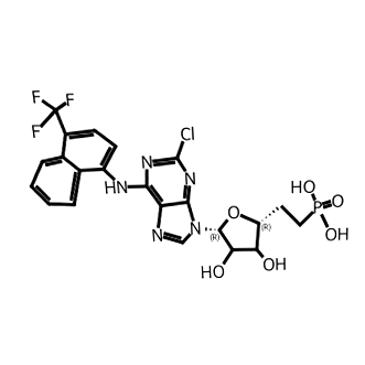 O=P(O)(O)CC[C@H]1O[C@@H](n2cnc3c(Nc4ccc(C(F)(F)F)c5ccccc45)nc(Cl)nc32)C(O)C1O